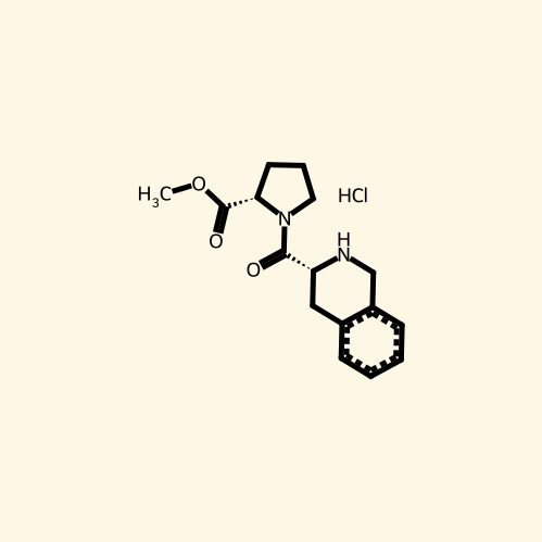 COC(=O)[C@@H]1CCCN1C(=O)[C@H]1Cc2ccccc2CN1.Cl